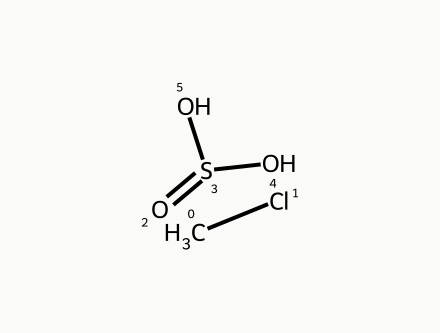 CCl.O=S(O)O